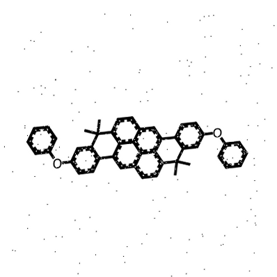 CC1(C)c2cc(Oc3ccccc3)ccc2-c2cc3ccc4c5c(cc6ccc1c2c6c35)-c1ccc(Oc2ccccc2)cc1C4(C)C